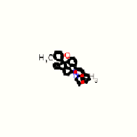 CC1C=CC2=C(C1)C1(c3cc(C4=NC5C=CC=CC5(C)C=C4)ccc3O2)c2ccccc2-c2ccc(-c3ccc4ccccc4n3)cc21